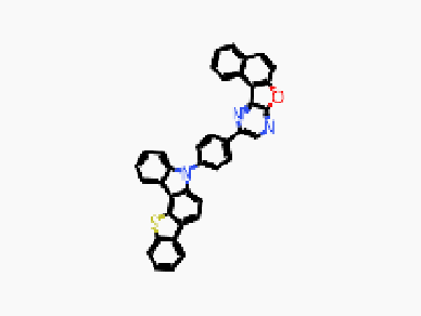 c1ccc2c(c1)ccc1oc3ncc(-c4ccc(-n5c6ccccc6c6c7sc8ccccc8c7ccc65)cc4)nc3c12